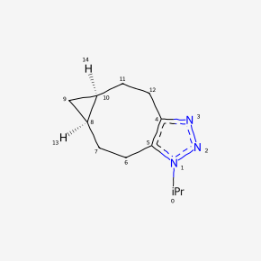 CC(C)n1nnc2c1CC[C@H]1C[C@H]1CC2